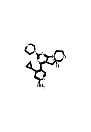 Nc1cc(C2CC2)c(-c2nc(N3CCOCC3)nc3c2C[C@H]2COCCN32)cn1